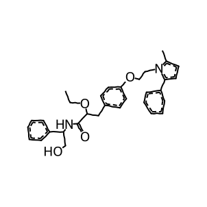 CCOC(Cc1ccc(OCCn2c(C)ccc2-c2ccccc2)cc1)C(=O)NC(CO)c1ccccc1